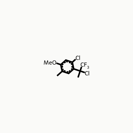 COc1cc(Cl)c(C(C)(Cl)C(F)(F)F)cc1C